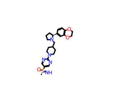 C[S@@](=N)(=O)c1cnc(N2CCC(CN3CCC[C@H]3c3ccc4c(c3)OCCO4)CC2)nc1